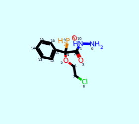 NNC(=O)C(OCCCl)([PH2]=O)c1ccccc1